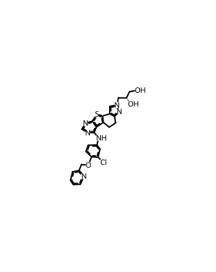 OC[C@H](O)Cn1cc2c(n1)CCc1c-2sc2ncnc(Nc3ccc(OCc4ccccn4)c(Cl)c3)c12